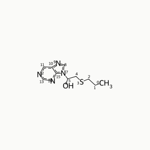 CCCSCC(O)n1cnc2cncnc21